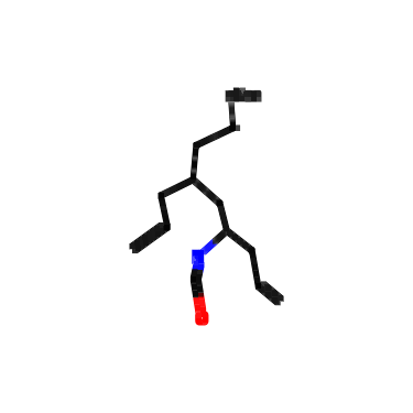 C=CCC(C[CH]CCCCCCCCC)CC(CC=C)N=C=O